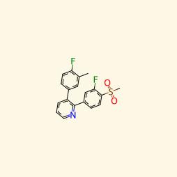 Cc1cc(-c2cccnc2-c2ccc(S(C)(=O)=O)c(F)c2)ccc1F